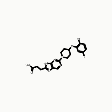 O=C(O)CCc1nc2cnc(N3CCC(Oc4cc(F)ccc4Br)CC3)nc2[nH]1